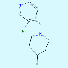 Fc1cnccc1CN1CCC(F)CC1